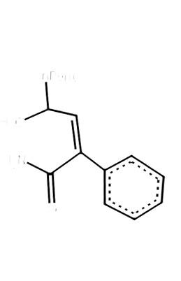 CCCCCC(C)C=C(C(N)=O)c1ccccc1